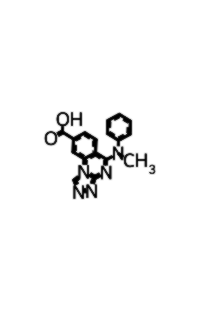 CN(c1ccccc1)c1nc2nncn2c2cc(C(=O)O)ccc12